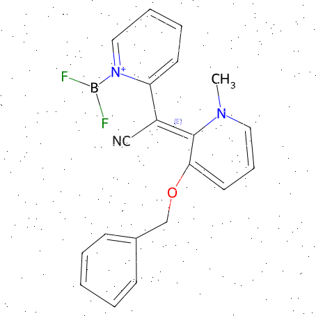 CN1C=CC=C(OCc2ccccc2)/C1=C(\C#N)c1cccc[n+]1B(F)F